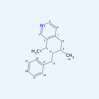 CCc1cnccc1CC(C)CCc1ccccc1